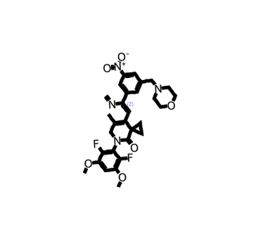 C=N/C(=C\C1=C(C)CN(c2c(F)c(OC)cc(OC)c2F)C(=O)C12CC2)c1cc(CN2CCOCC2)cc([N+](=O)[O-])c1